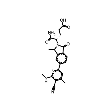 CNc1nc(-c2ccc3c(c2)C(C)N([C@@H](CCC(=O)O)C(N)=O)C3=O)cc(C)c1C#N